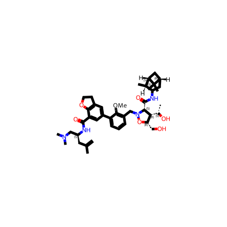 C=C(C)C[C@@H](CN(C)C)NC(=O)c1cc(-c2cccc(CN3O[C@@H](CO)[C@@H]([C@H](C)O)[C@H]3C(=O)NC3C[C@H]4C[C@@H]([C@@H]3C)C4(C)C)c2OC)cc2c1OCC2